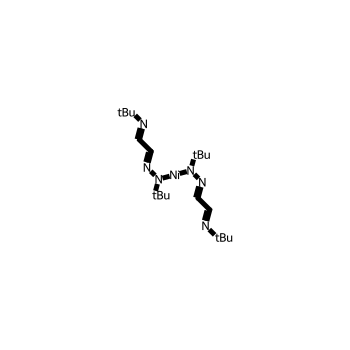 CC(C)(C)N=CC=N[N]([Ni][N](N=CC=NC(C)(C)C)C(C)(C)C)C(C)(C)C